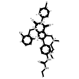 CCNC(=O)Nc1ccc(-c2sc3c(c2CN(C)CCOC)c(=O)n(-c2ccc(C)cn2)c(=O)n3Cc2c(F)cccc2F)cc1